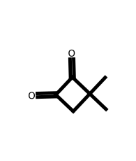 CC1(C)CC(=O)C1=O